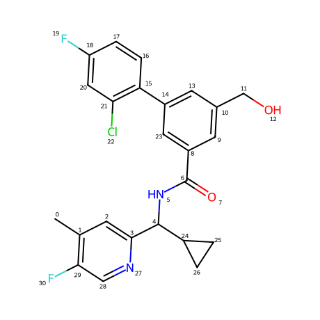 Cc1cc(C(NC(=O)c2cc(CO)cc(-c3ccc(F)cc3Cl)c2)C2CC2)ncc1F